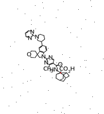 O=C(NC1(C(=O)O)C2CC3CC4CC1C4(C3)C2)c1cnc(N2CC3(CCOCC3)c3cc(C4CCCN(c5ncccn5)C4)ccc32)nc1C(F)(F)F